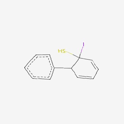 SC1(I)C=CC=CC1c1ccccc1